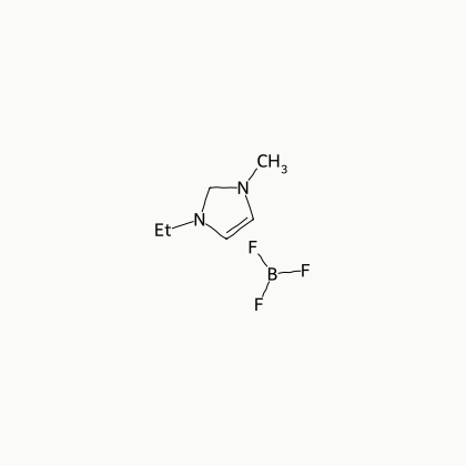 CCN1C=CN(C)C1.FB(F)F